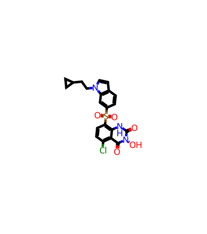 O=c1[nH]c2c(S(=O)(=O)c3ccc4ccn(CCC5CC5)c4c3)ccc(Cl)c2c(=O)n1O